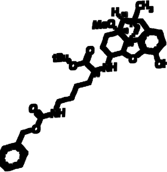 CO[C@@]12CCC(N[C@@H](CCCCNC(=O)OCc3ccccc3)C(=O)OC(C)(C)C)C3Oc4c(O)ccc5c4[C@@]31CCN(C)[C@@H]2C5